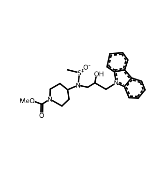 COC(=O)N1CCC(N(CC(O)Cn2c3ccccc3c3ccccc32)[S+](C)[O-])CC1